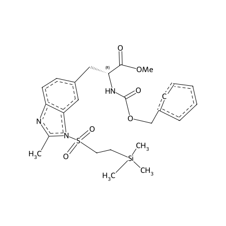 COC(=O)[C@@H](Cc1ccc2nc(C)n(S(=O)(=O)CC[Si](C)(C)C)c2c1)NC(=O)OCc1ccccc1